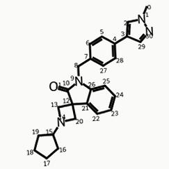 Cn1cc(-c2ccc(CN3C(=O)C4(CN(C5CCCC5)C4)c4ccccc43)cc2)cn1